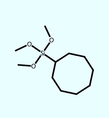 CO[Si](OC)(OC)C1CCCCCCC1